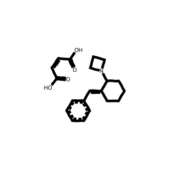 C(=C1CCCCC1N1CCC1)c1ccccc1.O=C(O)/C=C\C(=O)O